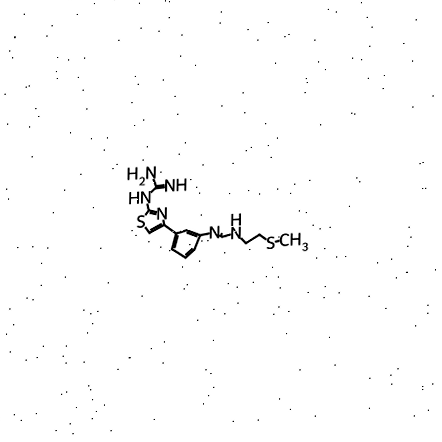 CSCCN/C=N/c1cccc(-c2csc(NC(=N)N)n2)c1